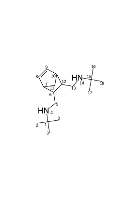 CC(C)(C)NCC1C2C=CC(C2)C1CNC(C)(C)C